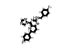 Fc1ccc(CNc2nc(-n3cncn3)c3nc(-c4ccc(F)cc4)ccc3n2)cc1